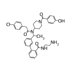 CC(c1cccc(-c2ccccc2C(=O)NCCN)c1)N(C(=O)Cc1ccc(Cl)cc1)C1CCN(C(=O)c2ccc(O)cc2)CC1